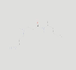 CCCCCCCCCCCC(C)NC(=O)CCN(C)CCCN